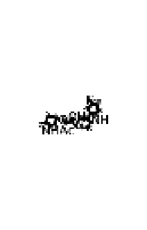 CC(=O)Nc1cc(C)ccc1OCC(O)CN1CCc2[nH]c3ccc(F)cc3c2C1